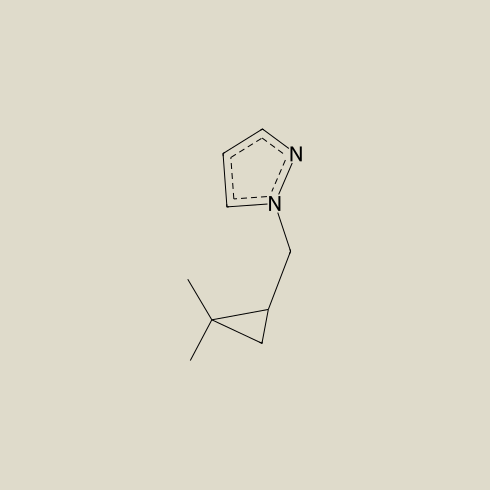 CC1(C)CC1Cn1cccn1